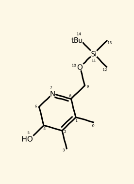 CC1=C(C)C(O)CN=C1CO[Si](C)(C)C(C)(C)C